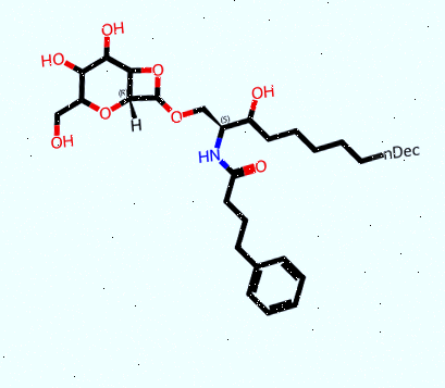 CCCCCCCCCCCCCCCC(O)[C@H](COC1OC2C(O)C(O)C(CO)O[C@@H]12)NC(=O)CCCc1ccccc1